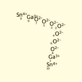 [Ga+3].[Ga+3].[O-2].[O-2].[O-2].[O-2].[O-2].[O-2].[O-2].[Sn+4].[Sn+4]